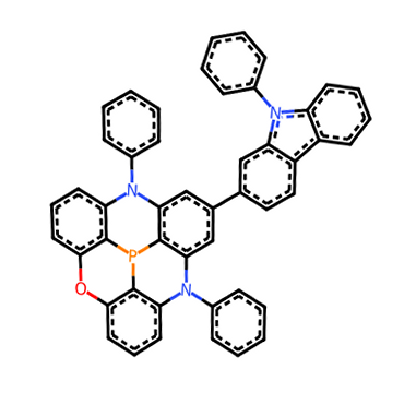 c1ccc(N2c3cccc4c3P3c5c(cccc5N(c5ccccc5)c5cc(-c6ccc7c8ccccc8n(-c8ccccc8)c7c6)cc2c53)O4)cc1